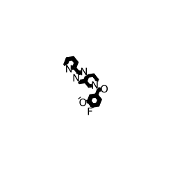 COc1cc(C(=O)N2CCc3nc(-c4ccccn4)ncc3C2)ccc1F